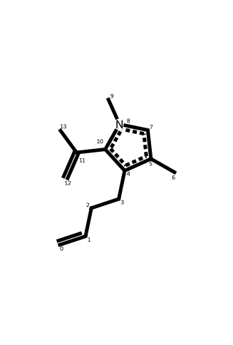 C=CCCc1c(C)cn(C)c1C(=C)C